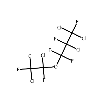 FC(Cl)(Cl)C(F)(Cl)OC(F)(F)C(F)(Cl)C(F)(Cl)Cl